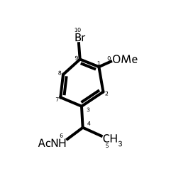 COc1cc(C(C)NC(C)=O)ccc1Br